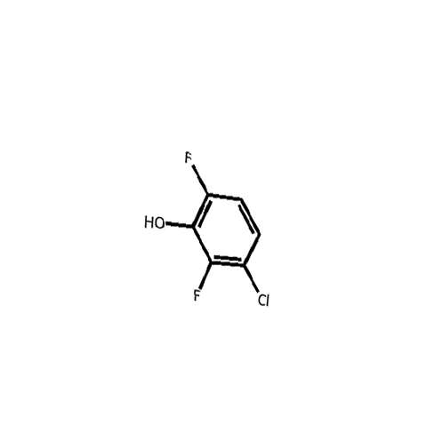 Oc1c(F)ccc(Cl)c1F